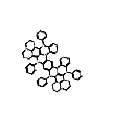 c1ccc(N2c3ccccc3B3c4cc5c(cc4N(c4ccccc4)c4c6c7c(c2c43)CCCN7CCC6)N(c2ccccc2)c2c3c4c(c6c2B5c2ccccc2N6c2ccccc2)CCCN4CCC3)cc1